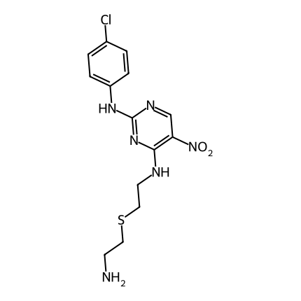 NCCSCCNc1nc(Nc2ccc(Cl)cc2)ncc1[N+](=O)[O-]